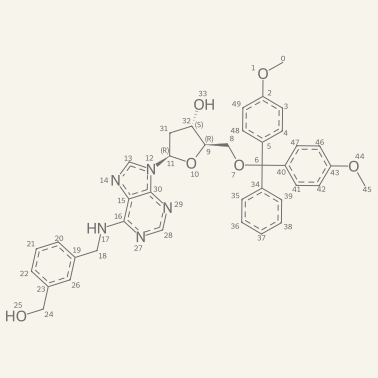 COc1ccc(C(OC[C@H]2O[C@@H](n3cnc4c(NCc5cccc(CO)c5)ncnc43)C[C@@H]2O)(c2ccccc2)c2ccc(OC)cc2)cc1